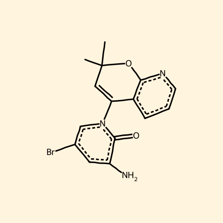 CC1(C)C=C(n2cc(Br)cc(N)c2=O)c2cccnc2O1